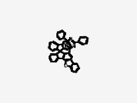 c1ccc(-c2nc(-c3ccccc3)nc(-c3cc4c(oc5ccccc54)c4c3C3(c5ccccc5-c5ccccc53)c3ccccc3-4)n2)cc1